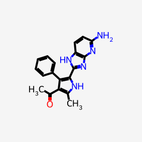 CC(=O)c1c(C)[nH]c(-c2nc3nc(N)ccc3[nH]2)c1-c1ccccc1